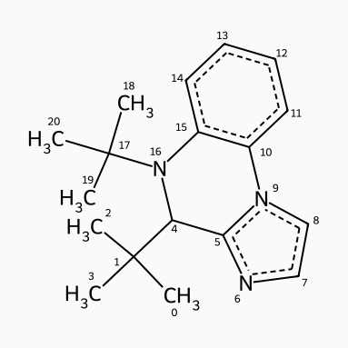 CC(C)(C)C1c2nccn2-c2ccccc2N1C(C)(C)C